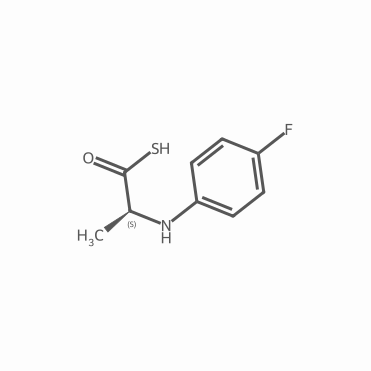 C[C@H](Nc1ccc(F)cc1)C(=O)S